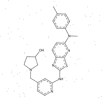 Cc1ccc(N(C)c2ccc3nc(Nc4cc(CN5CCC(O)C5)ccn4)sc3n2)cc1